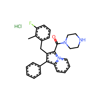 Cc1c(F)cccc1Cc1c(-c2ccccc2)c2ccccn2c1C(=O)N1CCNCC1.Cl